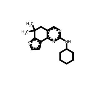 CC1(C)Cc2cnc(NC3CCCCC3)nc2-c2ccsc21